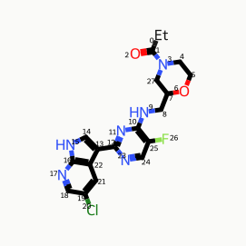 CCC(=O)N1CCOC(CNc2nc(-c3c[nH]c4ncc(Cl)cc34)ncc2F)C1